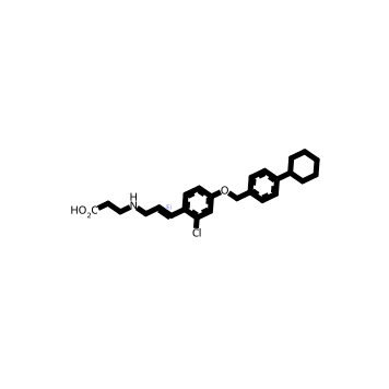 O=C(O)CCNC/C=C/c1ccc(OCc2ccc(C3CCCCC3)cc2)cc1Cl